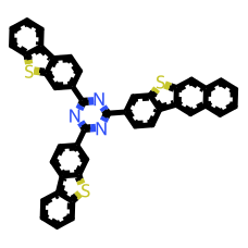 c1ccc2cc3c(cc2c1)sc1cc(-c2nc(-c4ccc5c(c4)sc4ccccc45)nc(-c4ccc5c(c4)sc4ccccc45)n2)ccc13